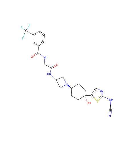 N#CNc1ncc([C@]2(O)CC[C@H](N3CC(NC(=O)CNC(=O)c4cccc(C(F)(F)F)c4)C3)CC2)s1